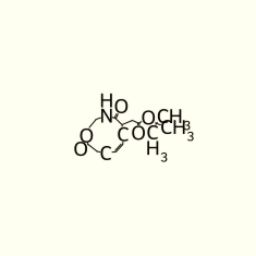 CC(C)(C)OC(=O)CC1CC=CCCC(=O)OCCNC1=O